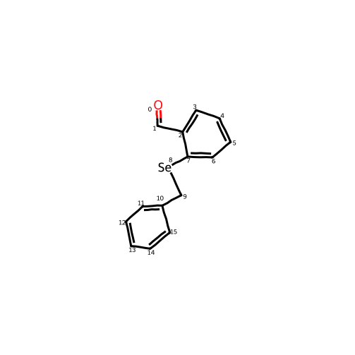 O=Cc1ccccc1[Se]Cc1ccccc1